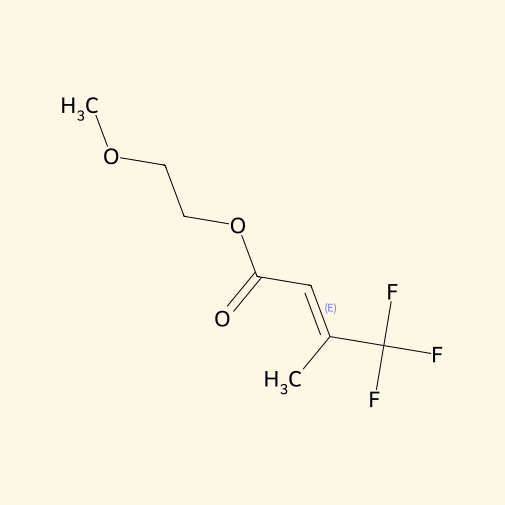 COCCOC(=O)/C=C(\C)C(F)(F)F